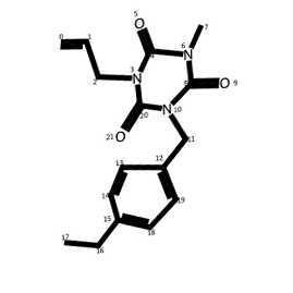 C=CCn1c(=O)n(C)c(=O)n(Cc2ccc(CC)cc2)c1=O